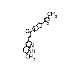 C=C1CCc2cc(/C=C/C(=O)N3CC4C=C(c5cc(C)cs5)CC4C3)cnc2N1